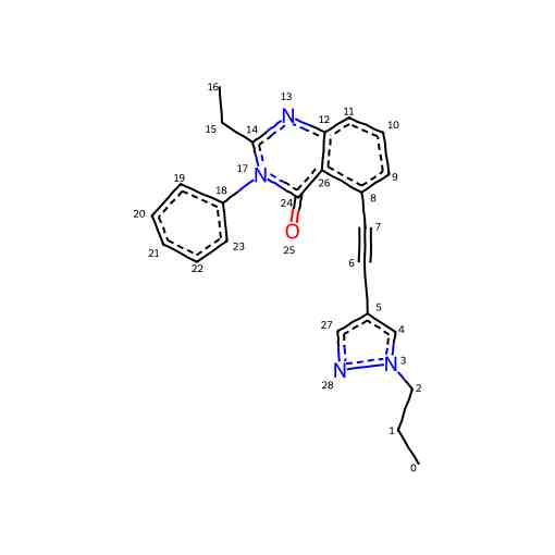 CCCn1cc(C#Cc2cccc3nc(CC)n(-c4ccccc4)c(=O)c23)cn1